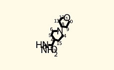 NNC(=O)C1CCN(C2CCOCC2)CC1